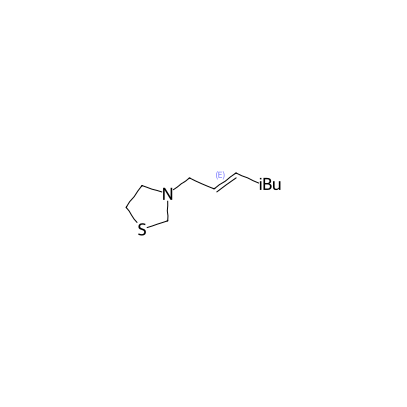 CCC(C)/C=C/CN1CCSC1